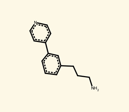 NCCCc1cccc(-c2ccncc2)c1